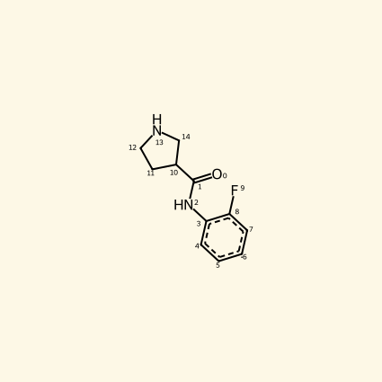 O=C(Nc1cc[c]cc1F)C1CCNC1